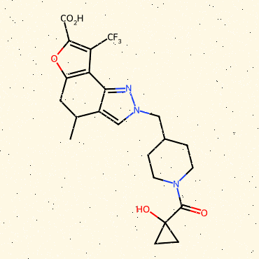 CC1Cc2oc(C(=O)O)c(C(F)(F)F)c2-c2nn(CC3CCN(C(=O)C4(O)CC4)CC3)cc21